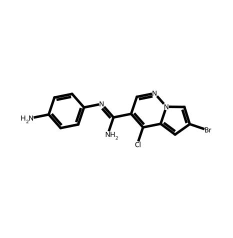 N/C(=N\c1ccc(N)cc1)c1cnn2cc(Br)cc2c1Cl